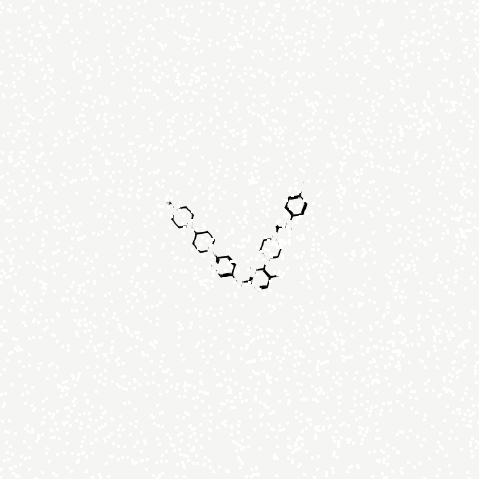 CC(=O)c1ccc(NC(=O)N2CCN(c3nc(Nc4ccc(N5CCC(N6CCN(C)CC6)CC5)nc4)ncc3C)CC2)cc1